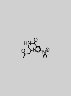 CC(=O)CC1CNC(=O)c2cc([N+](=O)[O-])cn21